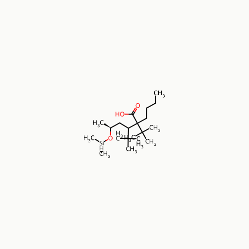 CCCCC(C(=O)O)(C(C[C@H](C)O[SiH](C)C)C(C)(C)C)C(C)(C)C